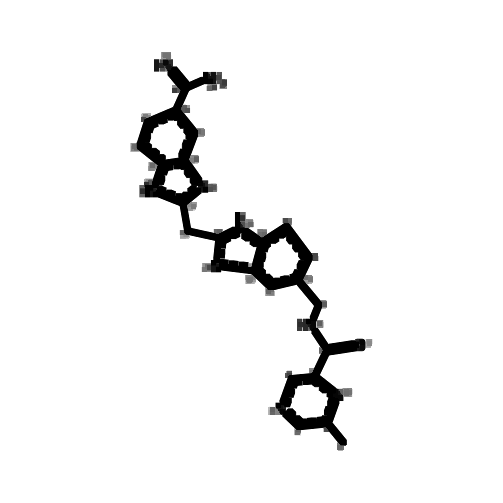 Cc1cncc(C(=O)NCc2ccc3[nH]c(Cc4nc5cc(C(=N)N)ccc5[nH]4)nc3c2)n1